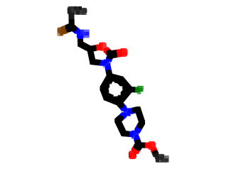 COC(=S)NCC1CN(c2ccc(N3CCN(C(=O)OC(C)(C)C)CC3)c(F)c2)C(=O)O1